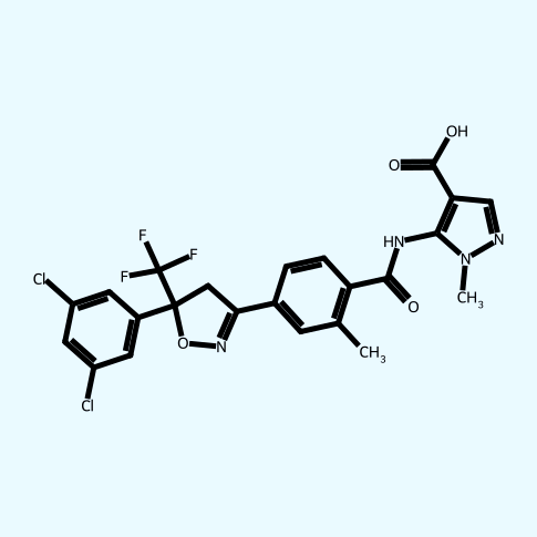 Cc1cc(C2=NOC(c3cc(Cl)cc(Cl)c3)(C(F)(F)F)C2)ccc1C(=O)Nc1c(C(=O)O)cnn1C